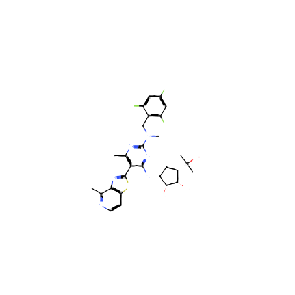 Cc1nc(N(C)Cc2c(F)cc(F)cc2F)nc(N[C@@H]2C[C@H](C(C)(C)O)[C@@H](O)[C@H]2O)c1-c1nc2c(C)nccc2s1